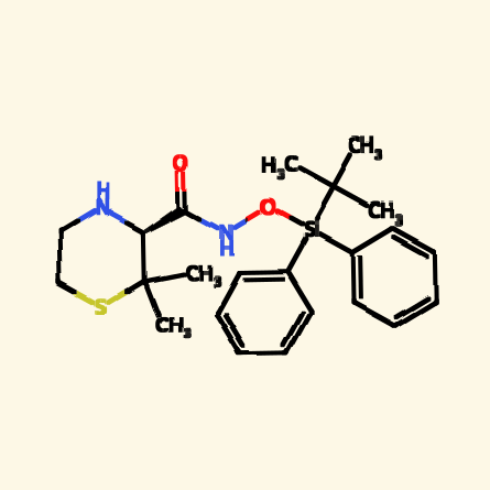 CC1(C)SCCN[C@H]1C(=O)NO[Si](c1ccccc1)(c1ccccc1)C(C)(C)C